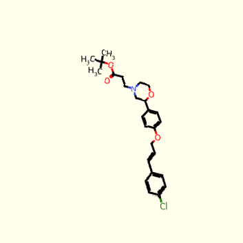 CC(C)(C)OC(=O)CCN1CCOC(c2ccc(OCC=Cc3ccc(Cl)cc3)cc2)C1